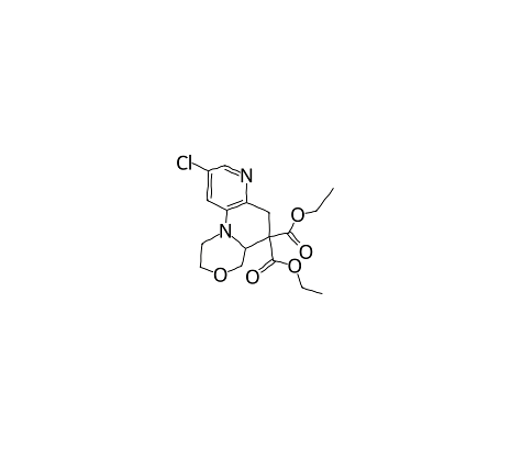 CCOC(=O)C1(C(=O)OCC)Cc2ncc(Cl)cc2N2CCOCC21